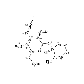 CO[C@H]1C(SC2(Cl)C=CC=NC2C#N)O[C@H](COC(C)=O)[C@H](OC(C)=O)[C@@H]1N=[N+]=[N-]